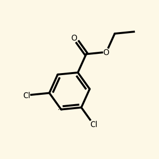 CCOC(=O)c1cc(Cl)[c]c(Cl)c1